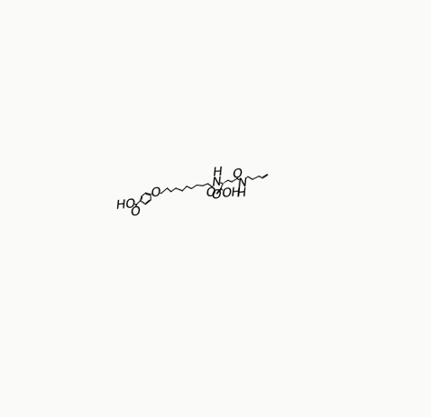 C=CCCCNC(=O)CC[C@H](NC(=O)CCCCCCCCCCOc1ccc(C(=O)O)cc1)C(=O)O